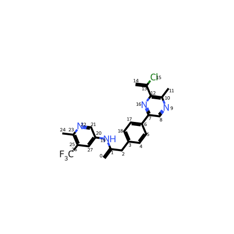 C=C(Cc1ccc(-c2cnc(C)c(C(=C)Cl)n2)cc1)Nc1cnc(C)c(C(F)(F)F)c1